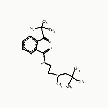 CN(CCNC(=O)c1ccccc1C(=O)C(C)(C)C)CC(C)(C)C